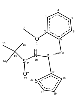 COc1ccccc1C[C@@H](N[S+]([O-])C(C)(C)C)c1cccs1